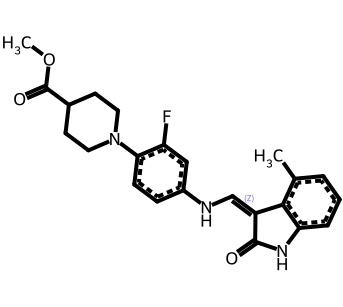 COC(=O)C1CCN(c2ccc(N/C=C3\C(=O)Nc4cccc(C)c43)cc2F)CC1